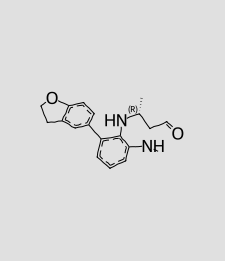 CNc1cccc(-c2ccc3c(c2)CCO3)c1N[C@H](C)CC=O